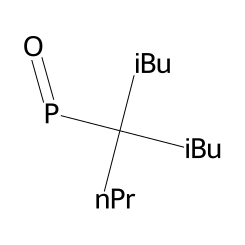 CCCC(P=O)(C(C)CC)C(C)CC